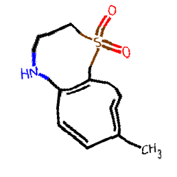 Cc1ccc2c(c1)S(=O)(=O)CCN2